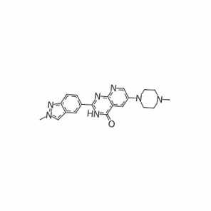 CN1CCN(c2cnc3nc(-c4ccc5nn(C)cc5c4)[nH]c(=O)c3c2)CC1